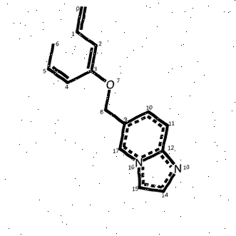 C=C/C=C(\C=C/C)OCc1ccc2nccn2c1